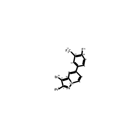 CC(C)c1nn2ccc(-c3ccc(F)c(C(F)(F)F)c3)cc2c1Br